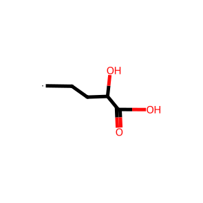 [CH2]CCC(O)C(=O)O